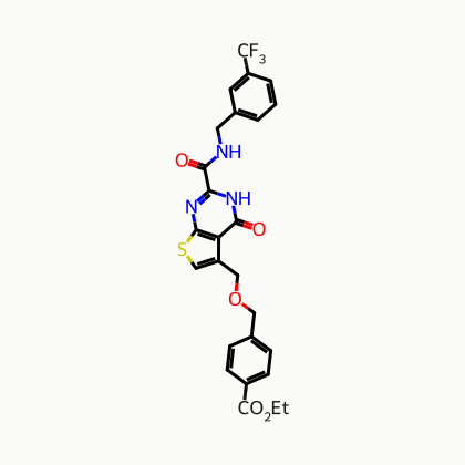 CCOC(=O)c1ccc(COCc2csc3nc(C(=O)NCc4cccc(C(F)(F)F)c4)[nH]c(=O)c23)cc1